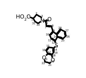 O=C(O)C1CCN(C(=O)C=Cc2ccc(Sc3ccc4c(c3)OCCO4)c3ccccc23)CC1